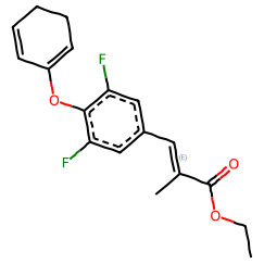 CCOC(=O)/C(C)=C/c1cc(F)c(OC2=CCCC=C2)c(F)c1